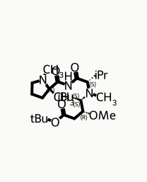 CC[C@H](C)[C@@H]([C@@H](CC(=O)OC(C)(C)C)OC)N(C)[C@H](C(=O)NC(=O)[C@]1(C)CCCN1C)C(C)C